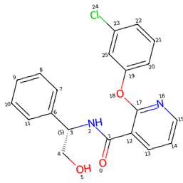 O=C(N[C@H](CO)c1ccccc1)c1cccnc1Oc1cccc(Cl)c1